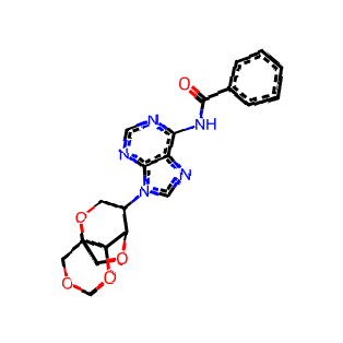 O=C(Nc1ncnc2c1ncn2C1COC23COCOC2C1OC3)c1ccccc1